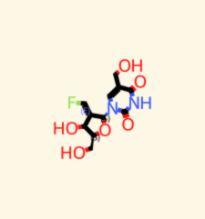 O=c1[nH]c(=O)n([C@H]2O[C@@H](CO)C(O)/C2=C\F)cc1CO